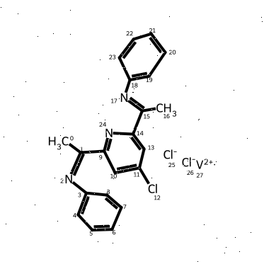 CC(=Nc1ccccc1)c1cc(Cl)cc(C(C)=Nc2ccccc2)n1.[Cl-].[Cl-].[V+2]